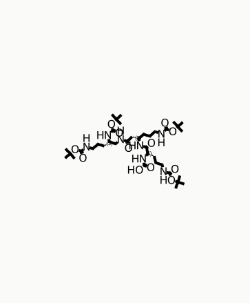 CC(C)(C)OC(=O)NCCC[C@@H](CNC(=O)C[C@H](CCCNC(=O)OC(C)(C)C)NC(=O)[C@H](CCCNC(=O)OC(C)(C)C)NC(=O)O)NC(=O)OC(C)(C)C